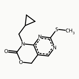 CSc1ncc2c(n1)N(CC1CC1)C(=O)OC2